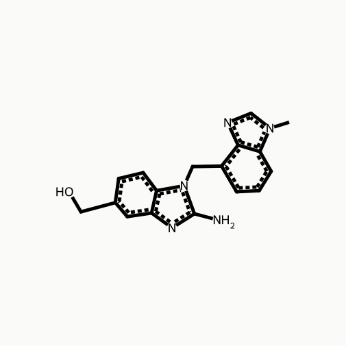 Cn1cnc2c(Cn3c(N)nc4cc(CO)ccc43)cccc21